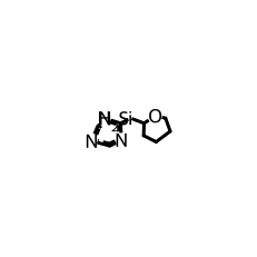 c1ncnc([SiH2]C2CCCCO2)n1